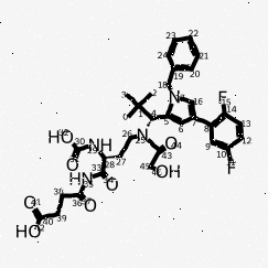 CC(C)(C)[C@H](c1cc(-c2cc(F)ccc2F)cn1Cc1ccccc1)N(CC[C@H](NC(=O)O)C(=O)NC(=O)CCC(=O)O)C(=O)CO